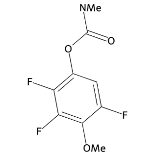 CNC(=O)Oc1cc(F)c(OC)c(F)c1F